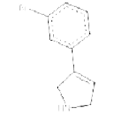 Brc1cccc(C2=CCNC2)c1